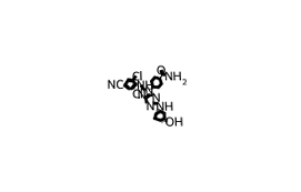 N#Cc1cc(Cl)c(Nc2nc3cnc(N[C@@H]4CCC[C@H](O)C4)nc3n2[C@H]2CC[C@H](C(N)=O)CC2)c(Cl)c1